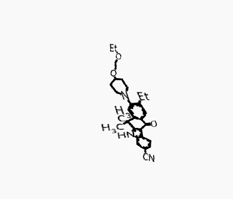 CCOCCOC1CCN(c2cc3c(cc2CC)C(=O)c2c([nH]c4cc(C#N)ccc24)C3(C)C)CC1